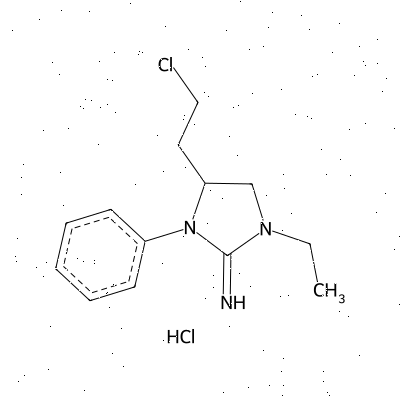 CCN1CC(CCCl)N(c2ccccc2)C1=N.Cl